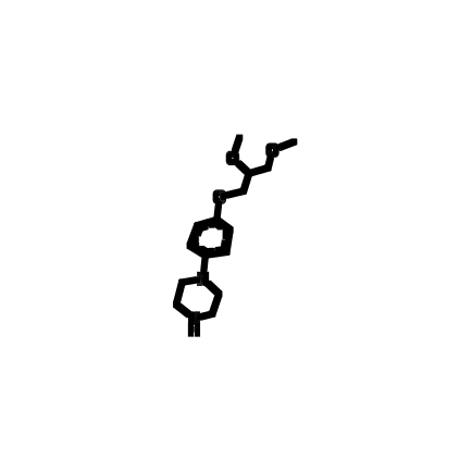 COCC(COc1ccc(N2CCNCC2)cc1)OC